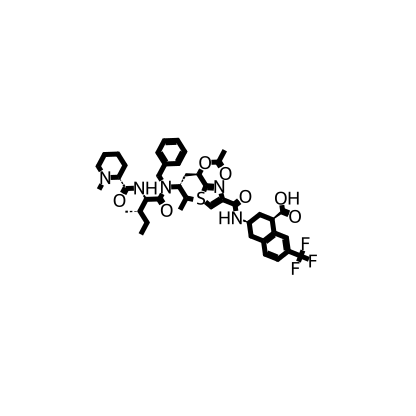 CC[C@H](C)[C@H](NC(=O)[C@H]1CCCCN1C)C(=O)N(Cc1ccccc1)[C@H](C[C@@H](OC(C)=O)c1nc(C(=O)N[C@H]2Cc3ccc(C(F)(F)F)cc3[C@H](C(=O)O)C2)cs1)C(C)C